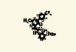 COc1cncc(NC(=O)c2cnn3c2C(=O)N(c2ccc(C(F)(F)F)cc2)C[C@@H]3C)c1C